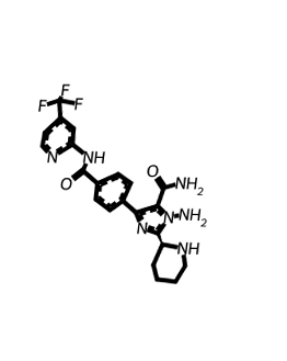 NC(=O)c1c(-c2ccc(C(=O)Nc3cc(C(F)(F)F)ccn3)cc2)nc([C@@H]2CCCCN2)n1N